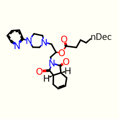 CCCCCCCCCCCCCC(=O)OC(CN1CCN(c2ccccn2)CC1)CN1C(=O)[C@H]2CC=CC[C@H]2C1=O